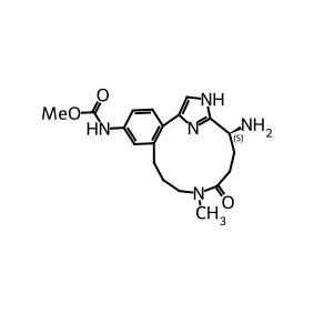 COC(=O)Nc1ccc2c(c1)CCCN(C)C(=O)CC[C@H](N)c1nc-2c[nH]1